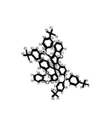 CC(C)(C)c1ccc(N(c2ccc(C(C)(C)C)cc2)c2ccc3c(c2)C2(c4ccccc4N4c5ccccc5Oc5cccc2c54)c2cc(N(c4ccc(C(C)(C)C)cc4)c4ccc(C(C)(C)C)cc4)c4c(oc5ccccc54)c2-3)cc1